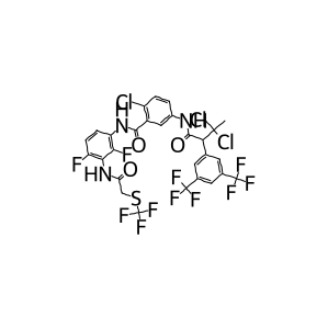 CC(Cl)(Cl)C(C(=O)Nc1ccc(Cl)c(C(=O)Nc2ccc(F)c(NC(=O)CSC(F)(F)F)c2F)c1)c1cc(C(F)(F)F)cc(C(F)(F)F)c1